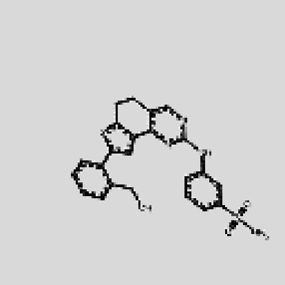 NS(=O)(=O)c1cccc(Nc2ncc3c(n2)-c2cc(-c4ccccc4CO)sc2CC3)c1